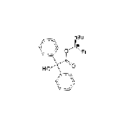 CCCC[C@@H](CC)OC(=O)C(O)(c1ccccc1)c1ccccc1